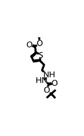 COC(=O)c1ccc(CCNNC(=O)OC(C)(C)C)s1